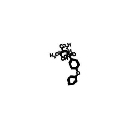 C[C@H](O)[C@H](NS(=O)(=O)c1ccc(Oc2ccccc2)cc1)C(=O)O